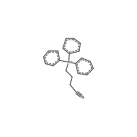 N#CCCC[PH](c1ccccc1)(c1ccccc1)c1ccccc1